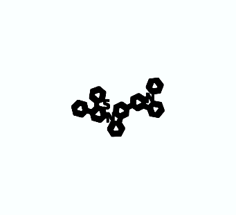 c1ccc(-c2ccc(-n3c4ccccc4c4cc(-c5ccc6c(c5)c5ccccc5n6-c5ccccc5)ccc43)c3sc4ccccc4c23)cc1